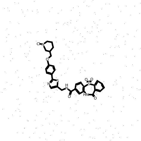 O=C(NCc1cnc(-c2ccc(OCC3CCCN(Cl)C3)cc2)s1)c1ccc2c(c1)NC(=O)c1ccccc1S2(=O)=O